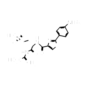 C=C(NC(=O)[C@H](COS(C)(=O)=O)NC(=O)c1csc(-c2ccc(NC(C)=O)cc2)n1)C(=O)O